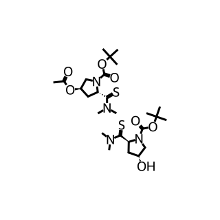 CC(=O)O[C@@H]1C[C@@H](C(=S)N(C)C)N(C(=O)OC(C)(C)C)C1.CN(C)C(=S)[C@@H]1C[C@@H](O)CN1C(=O)OC(C)(C)C